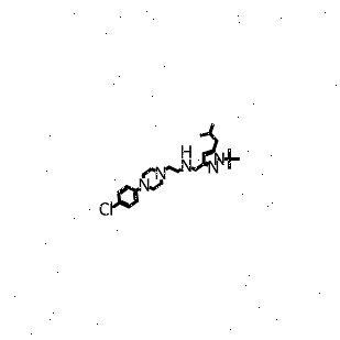 CC(C)Cc1cc(CNCCN2CCN(c3ccc(Cl)cc3)CC2)nn1C(C)(C)C